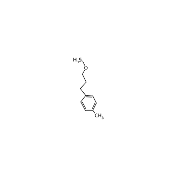 Cc1ccc(CCCO[SiH3])cc1